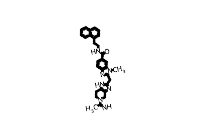 CC(=N)N1CCc2[nH]c(Cc3nc4ccc(C(=O)NCCc5cccc6ccccc56)cc4n3C)nc2C1